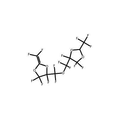 FC(F)=C1OC(F)(F)C(F)(C(F)(F)OC(F)(F)C2(F)OC(C(F)(F)F)OC2(F)F)O1